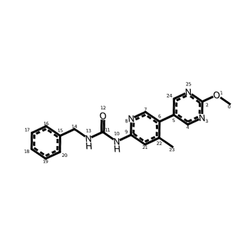 COc1ncc(-c2cnc(NC(=O)NCc3ccccc3)cc2C)cn1